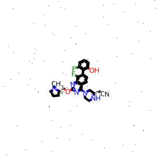 CN1CCC[C@H]1COc1nc(N2CCN[C@@H](CC#N)C2)c2ccc(-c3c(O)cccc3F)c(F)c2n1